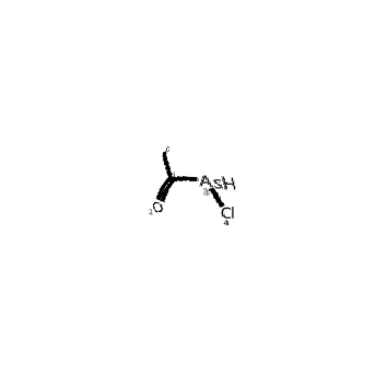 CC(=O)[AsH]Cl